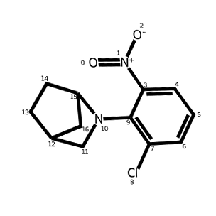 O=[N+]([O-])c1cccc(Cl)c1N1CC2CCC1C2